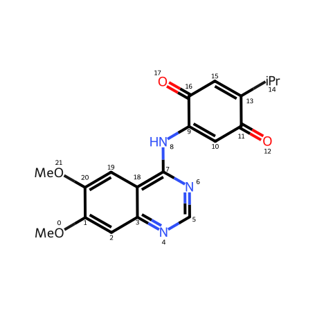 COc1cc2ncnc(NC3=CC(=O)C(C(C)C)=CC3=O)c2cc1OC